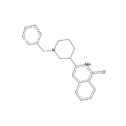 O=c1[nH]c(C2CCCN(Cc3ccccc3)C2)cc2ccccc12